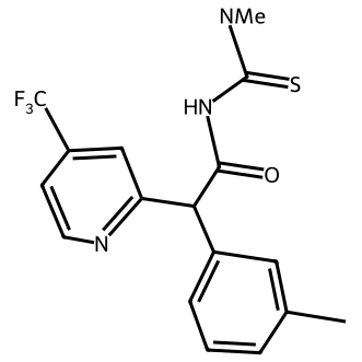 CNC(=S)NC(=O)C(c1cccc(C)c1)c1cc(C(F)(F)F)ccn1